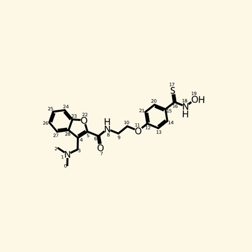 CN(C)Cc1c(C(=O)NCCOc2ccc(C(=S)NO)cc2)oc2ccccc12